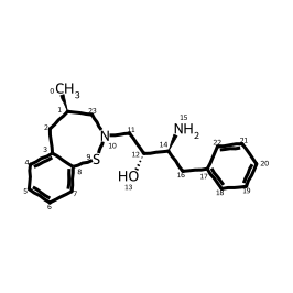 C[C@@H]1Cc2ccccc2SN(C[C@@H](O)[C@@H](N)Cc2ccccc2)C1